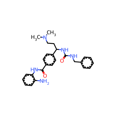 CN(C)CCC(NC(=O)NCc1ccccc1)c1ccc(C(=O)Nc2ccccc2N)cc1